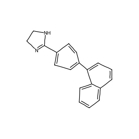 c1ccc2c(-c3ccc(C4=NCCN4)cc3)cccc2c1